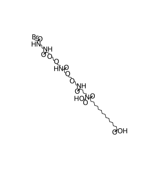 O=C(O)CCCCCCCCCCCCCCC(=O)N(CCCC(=O)NCCOCCOCC(=O)NCCOCCOCC(=O)NCCNC(=O)CBr)C(=O)O